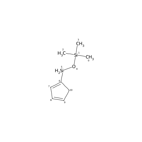 C[Si](C)(C)O[SiH2]C1=CC=CC1